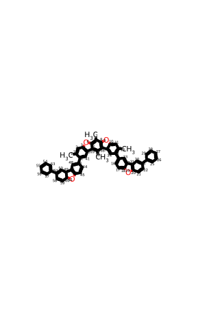 Cc1cc2oc3c(C)c4oc5cc(C)c(-c6ccc7oc8ccc(-c9ccccc9)cc8c7c6)cc5c4c(C)c3c2cc1-c1ccc2c(c1)C1C=C(c3ccccc3)C=CC1O2